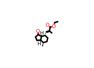 CCOC(=O)/C(C)=C/[C@@H]1CC[C@@H](C)[C@H]2CCC(=O)[C@@H]21